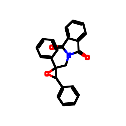 O=C1c2ccccc2C(=O)N1CC1(c2ccccc2)OC1c1ccccc1